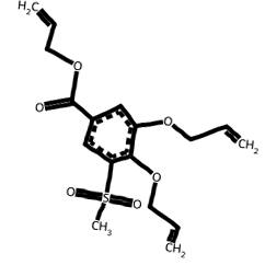 C=CCOC(=O)c1cc(OCC=C)c(OCC=C)c(S(C)(=O)=O)c1